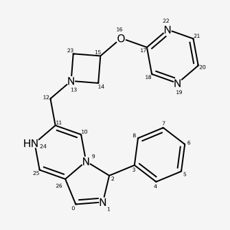 C1=NC(c2ccccc2)N2C=C(CN3CC(Oc4cnccn4)C3)NC=C12